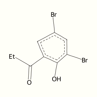 CCC(=O)c1cc(Br)cc(Br)c1O